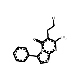 Cc1nc2scc(-c3ccccc3)n2c(=O)c1CCCl